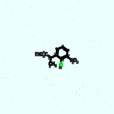 CCOC(=O)C(C)c1cccc([N+](=O)[O-])c1Cl